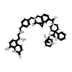 O=C(c1ccc(CN(Cc2ccc(CNC[C@H](O)c3ccc(O)c4[nH]c(=O)ccc34)cc2)C(=O)C2CC2)cc1)N1CCC(C(=O)O[C@H]2CN3CCC2CC3)(c2ccccc2)CC1